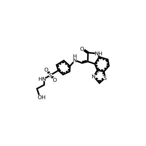 O=C1Nc2ccc3scnc3c2/C1=C/Nc1ccc(S(=O)(=O)NCCO)cc1